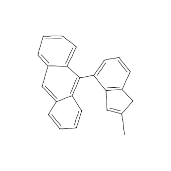 CC1=Cc2c(cccc2-c2c3ccccc3cc3ccccc23)C1